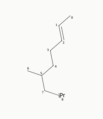 CC=CCCC(C)CC(C)C